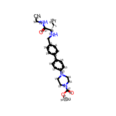 CC(C)C[C@H](NCc1ccc(-c2ccc(N3CCN(C(=O)OC(C)(C)C)CC3)cc2)cc1)C(=O)NCC#N